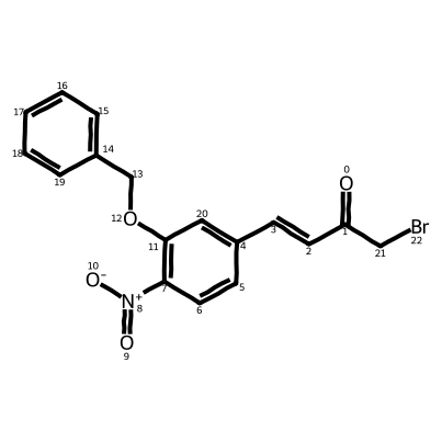 O=C(C=Cc1ccc([N+](=O)[O-])c(OCc2ccccc2)c1)CBr